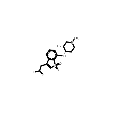 CN1CC[C@H](Nc2cccc3c2S(=O)(=O)C=C3CC(F)F)[C@H](F)C1